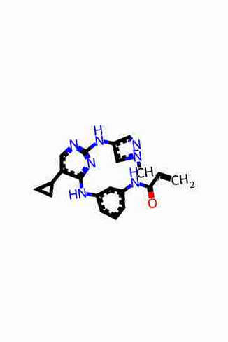 C=CC(=O)Nc1cccc(Nc2nc(Nc3cnn(C)c3)ncc2C2CC2)c1